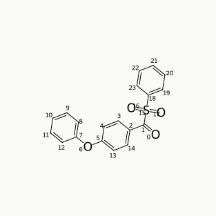 O=C(c1ccc(Oc2ccccc2)cc1)S(=O)(=O)c1ccccc1